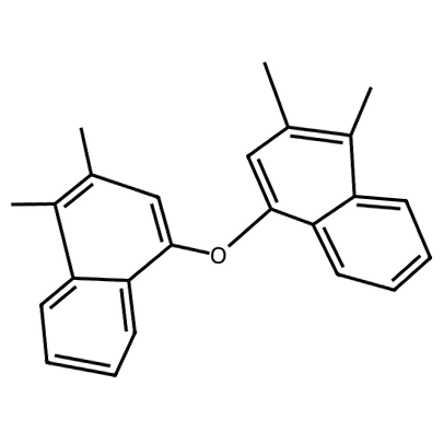 Cc1cc(Oc2cc(C)c(C)c3ccccc23)c2ccccc2c1C